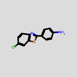 Nc1ccc(-c2nc3ccc(Cl)cc3s2)cc1